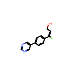 OC/C=C(/F)c1ccc(-c2cncnc2)cc1